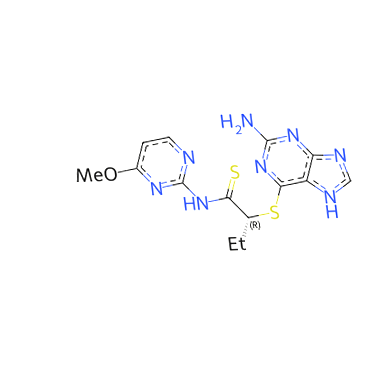 CC[C@@H](Sc1nc(N)nc2nc[nH]c12)C(=S)Nc1nccc(OC)n1